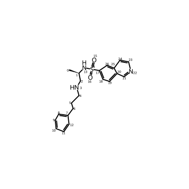 C[C@H](CNCCCc1ccccc1)NS(=O)(=O)c1ccc2cnccc2c1